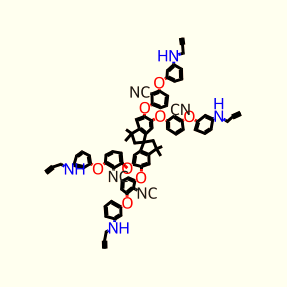 [C-]#[N+]c1c(Oc2cccc(NCC#C)c2)cccc1Oc1cc2c(cc1Oc1cccc(Oc3cccc(NCC#C)c3)c1[N+]#[C-])C1(CC(C)(C)c3cc(Oc4cccc(Oc5cccc(NCC#C)c5)c4C#N)c(Oc4cccc(Oc5cccc(NCC#C)c5)c4C#N)cc31)CC2(C)C